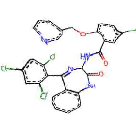 O=C(NC1N=C(c2c(Cl)cc(Cl)cc2Cl)c2ccccc2NC1=O)c1cc(F)ccc1OCc1cccnc1